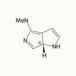 CNC1=C2C=CN[C@@H]2C=N1